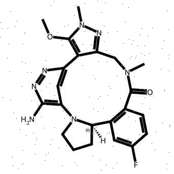 COc1c2c(nn1C)CN(C)C(=O)c1ccc(F)cc1[C@H]1CCCN1c1cc-2nnc1N